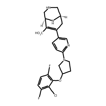 O=C(O)C1=C(c2ccc(N3CCC(Oc4c(F)ccc(F)c4Cl)C3)nc2)C[C@@H]2CNC[C@H]1N2